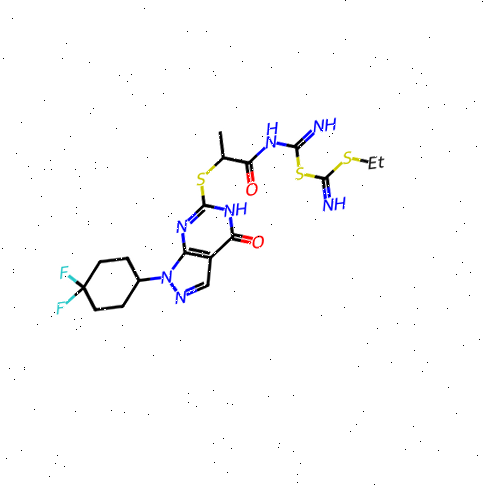 CCSC(=N)SC(=N)NC(=O)C(C)Sc1nc2c(cnn2C2CCC(F)(F)CC2)c(=O)[nH]1